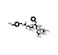 C=C(C)NS(=O)(=O)N(CC(C)C)C[C@@H](O)[C@H](Cc1ccccc1)NC(=O)[C@H](C)CNC(=O)OCc1ccc(CO)cc1